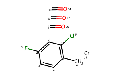 Cc1ccc(F)cc1Cl.[C]=O.[C]=O.[C]=O.[Cr]